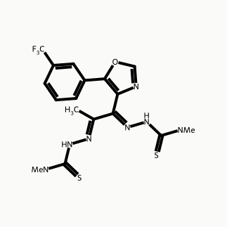 CNC(=S)N/N=C(C)/C(=N/NC(=S)NC)c1ncoc1-c1cccc(C(F)(F)F)c1